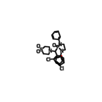 O=P1(C(c2ccc(Cl)cc2Cl)N2CCS(=O)(=O)CC2)N(c2ccccc2)CCN1c1ccccc1